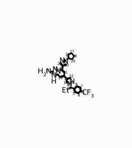 CCC(c1ccc(C(F)(F)F)cc1)n1cc(C2=CC3NC(N)=NN3C(c3cnn(C4CCCC4)c3)=C2)cn1